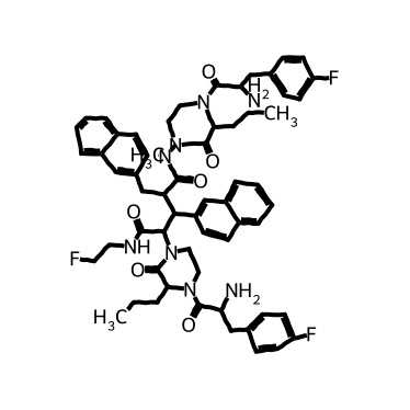 CCCC1C(=O)N(C(C(=O)NCCF)C(c2ccc3ccccc3c2)C(Cc2ccc3ccccc3c2)C(=O)N(C)N2CCN(C(=O)C(N)Cc3ccc(F)cc3)C(CCC)C2=O)CCN1C(=O)C(N)Cc1ccc(F)cc1